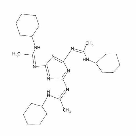 CC(=Nc1nc(N=C(C)NC2CCCCC2)nc(N=C(C)NC2CCCCC2)n1)NC1CCCCC1